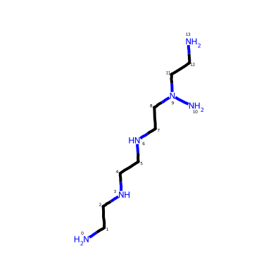 NCCNCCNCCN(N)CCN